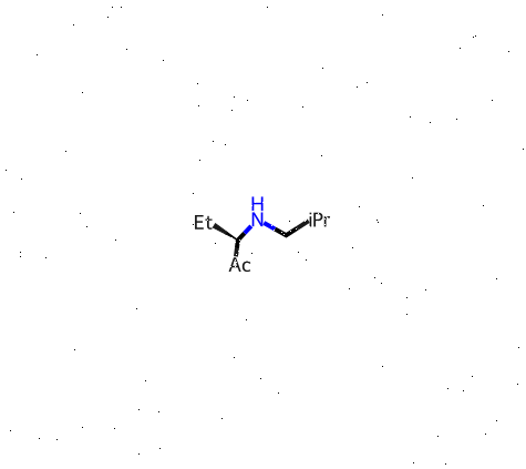 CC[C@@H](NCC(C)C)C(C)=O